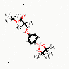 CC(C)(C)OC(=O)C(C)(C)COc1ccc(B2OC(C)(C)C(C)(C)O2)cc1